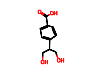 O=C(O)c1ccc(C(CO)CO)cc1